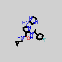 CC(Nc1nc(Nc2cnccn2)ccc1C(=O)NCC1CC1)c1ccc(F)cc1